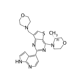 C[C@@H]1COCCN1c1nc(-c2ccnc3[nH]ccc23)nc2c(CN3CCOCC3)csc12